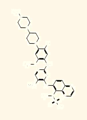 CCc1cc(Nc2ncc(OC)c(Nc3ccc4nccnc4c3N(C)S(C)(=O)=O)n2)c(OC(F)(F)F)cc1N1CCC(N2CCN(C)CC2)CC1